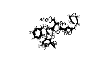 COCC(NC(=O)c1cc(CN2CCOCC2)on1)C(=O)N[C@@H](Cc1ccccc1)C(=O)NC(CC(C)C)C(=O)C1(C)CO1